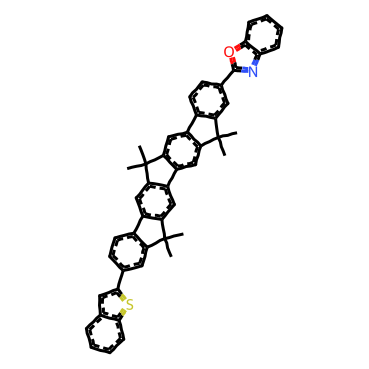 CC1(C)c2cc(-c3nc4ccccc4o3)ccc2-c2cc3c(cc21)-c1cc2c(cc1C3(C)C)-c1ccc(-c3cc4ccccc4s3)cc1C2(C)C